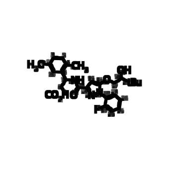 Cc1ccc(C)c(C(CC(=O)O)NC(=O)c2cc(OCC(O)C(C)(C)C)n(-c3ccccc3F)n2)c1